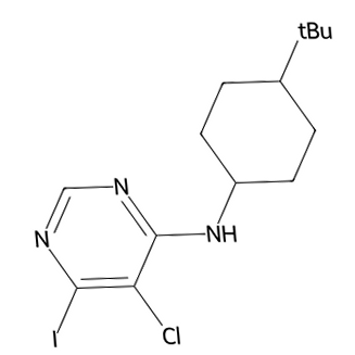 CC(C)(C)C1CCC(Nc2ncnc(I)c2Cl)CC1